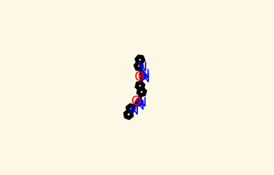 c1ccc2nc(-c3nnc(-c4ccc5cc(-c6nnc(-c7ccc8ccccc8n7)o6)ccc5c4)o3)ccc2c1